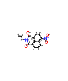 C=CCN1C(=O)c2cccc3c([N+](=O)[O-])ccc(c23)C1=O